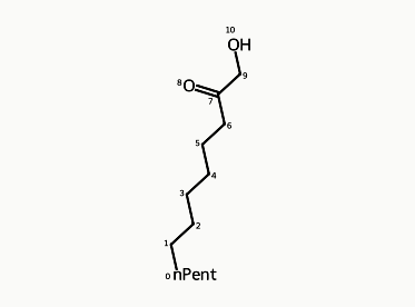 CCCCCCCCCCCC(=O)CO